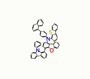 c1ccc(-n2c3ccccc3c3cccc(-c4ccc(N(c5ccc(-c6cccc7ccccc67)cc5)c5cccc6c5sc5ccccc56)c5c4oc4ccccc45)c32)cc1